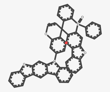 O=P1(c2ccccc2)c2ccccc2C2(c3ccccc3Oc3cc(-n4c5ccccc5c5cc6c(cc54)oc4ccccc46)ccc32)c2cc3c(cc21)oc1ccccc13